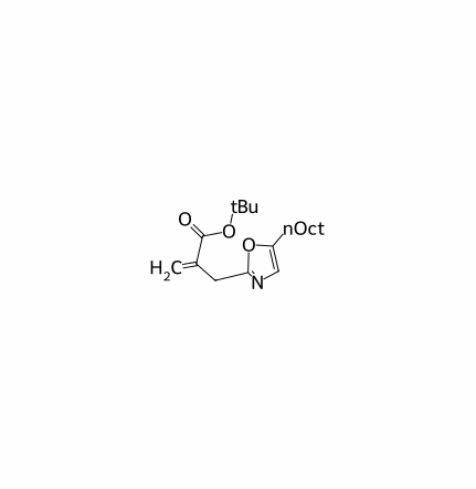 C=C(Cc1ncc(CCCCCCCC)o1)C(=O)OC(C)(C)C